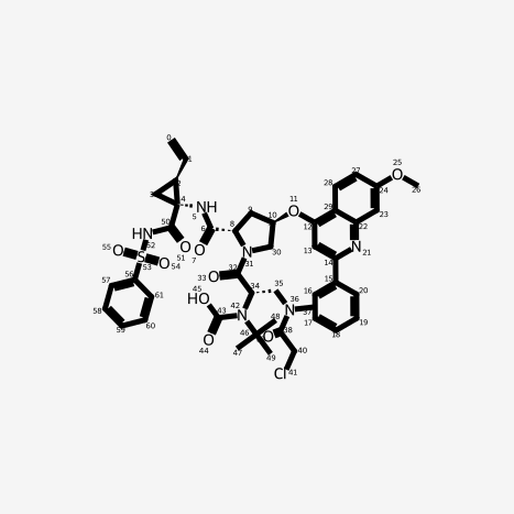 C=C[C@@H]1C[C@]1(NC(=O)[C@@H]1C[C@@H](Oc2cc(-c3ccccc3)nc3cc(OC)ccc23)CN1C(=O)[C@H](CN(C)C(=O)CCl)N(C(=O)O)C(C)(C)C)C(=O)NS(=O)(=O)c1ccccc1